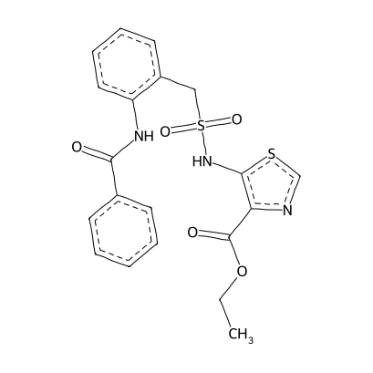 CCOC(=O)c1ncsc1NS(=O)(=O)Cc1ccccc1NC(=O)c1ccccc1